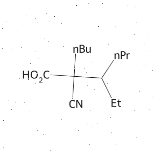 CCCCC(C#N)(C(=O)O)C(CC)CCC